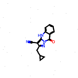 N#Cc1c(CC2CC2)nn2c(=O)c3ccccc3[nH]c12